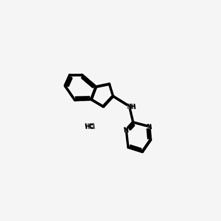 Cl.c1cnc(NC2Cc3ccccc3C2)nc1